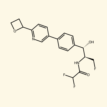 O=C(N[C@H](CF)[C@@H](O)c1ccc(-c2ccc(C3CCO3)nc2)cc1)C(F)F